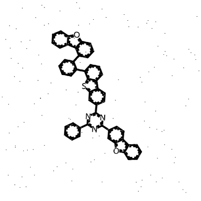 c1ccc(-c2nc(-c3ccc4c(c3)oc3ccccc34)nc(-c3ccc4c(c3)sc3c(-c5ccccc5-c5cccc6oc7ccccc7c56)cccc34)n2)cc1